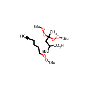 C#CCCCCOOC(C)(C)C.CCCCC(CC(C)(OOC(C)(C)C)OOC(C)(C)C)C(=O)O